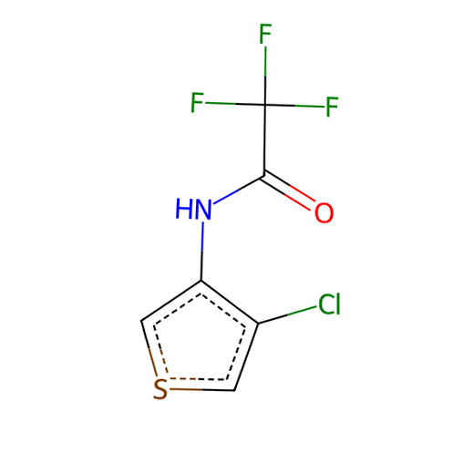 O=C(Nc1cscc1Cl)C(F)(F)F